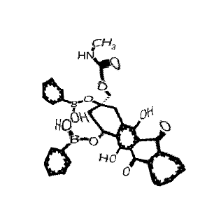 CNC(=O)OC[C@]1(OB(O)c2ccccc2)Cc2c(O)c3c(c(O)c2[C@@H](OB(O)c2ccccc2)C1)C(=O)c1ccccc1C3=O